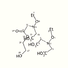 CCON(CC(=O)O)CC(=O)O.CCON(CC(=O)O)CC(=O)OCCO